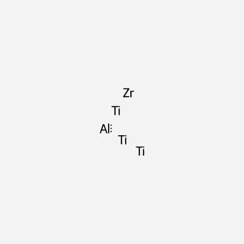 [Al].[Ti].[Ti].[Ti].[Zr]